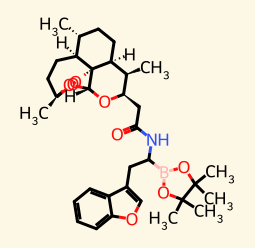 C[C@H]1[C@@H](CC(=O)NC(Cc2coc3ccccc23)B2OC(C)(C)C(C)(C)O2)O[C@@H]2O[C@@]3(C)CC[C@H]4[C@H](C)CC[C@@H]1[C@@]24OO3